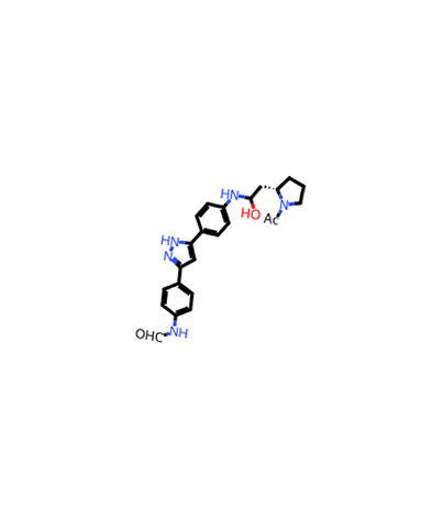 CC(=O)N1CCC[C@H]1CC(O)Nc1ccc(-c2cc(-c3ccc(NC=O)cc3)n[nH]2)cc1